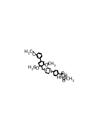 CCOc1cccc(-c2cc(OC)c(CN3CCN(c4ccc(C(=O)NS(C)(=O)=O)cc4)CC3)c(OC)c2)c1